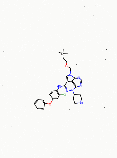 C[Si](C)(C)CCOCn1cc2c3c(ncnc31)N(C1CCNCC1)N=C2Nc1ccc(Oc2ccccc2)cc1Cl